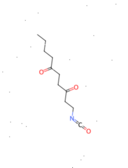 CCCCC(=O)CCC(=O)CCN=C=O